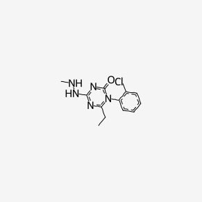 CCc1nc(NNC)nc(=O)n1-c1ccccc1Cl